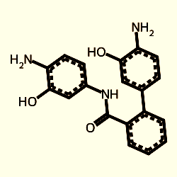 Nc1ccc(NC(=O)c2ccccc2-c2ccc(N)c(O)c2)cc1O